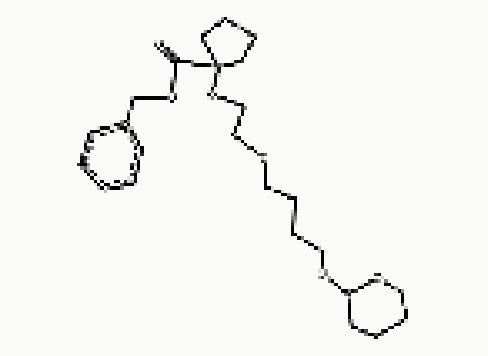 O=C(OCc1ccccc1)C1(OCCOCCCCOC2CCCCO2)CCCC1